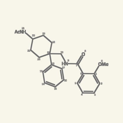 COc1ccccc1C(=O)NCC1(c2ccccc2)CCC(NC(C)=O)CC1